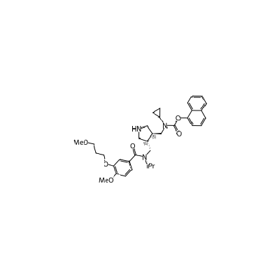 COCCCOc1cc(C(=O)N(C[C@@H]2CNC[C@H]2CN(C(=O)Oc2cccc3ccccc23)C2CC2)C(C)C)ccc1OC